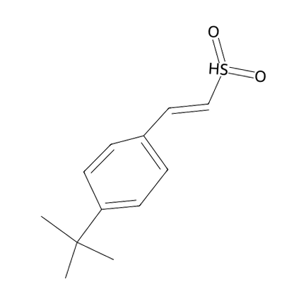 CC(C)(C)c1ccc(/C=C/[SH](=O)=O)cc1